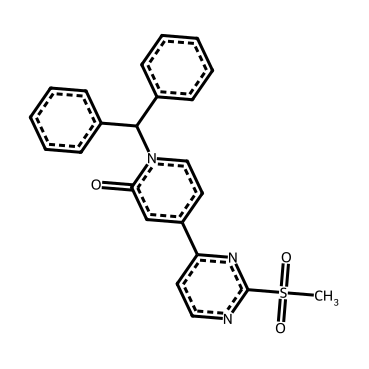 CS(=O)(=O)c1nccc(-c2ccn(C(c3ccccc3)c3ccccc3)c(=O)c2)n1